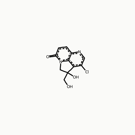 O=c1ccc2ncc(Cl)c3c2n1CC3(O)CO